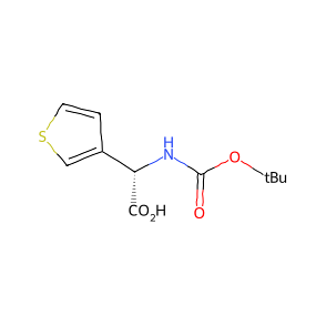 CC(C)(C)OC(=O)N[C@H](C(=O)O)c1ccsc1